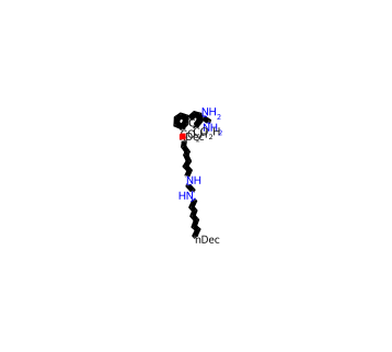 CCCCCCCCCCCCCCCCCCNCCNCCCCCCCCCCCCCCCCCC.NCCN.O=C(O)c1ccccc1.O=C(O)c1ccccc1